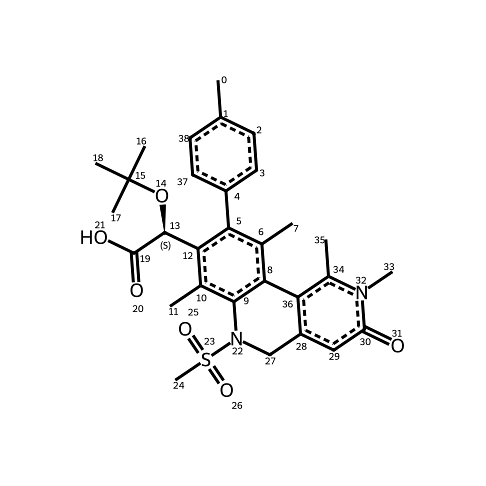 Cc1ccc(-c2c(C)c3c(c(C)c2[C@H](OC(C)(C)C)C(=O)O)N(S(C)(=O)=O)Cc2cc(=O)n(C)c(C)c2-3)cc1